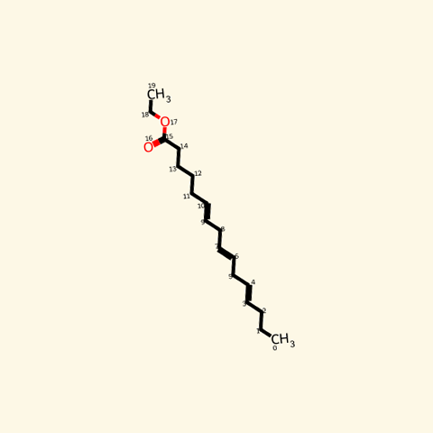 CCCC=CCC=CCC=CCCCCC(=O)OCC